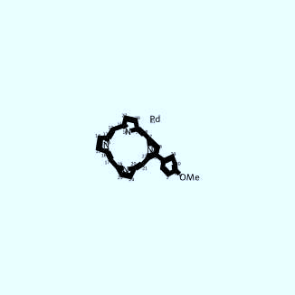 COc1ccc(-c2cc3cc4nc(cc5ccc(cc6nc(cc2[nH]3)C=C6)[nH]5)C=C4)cc1.[Pd]